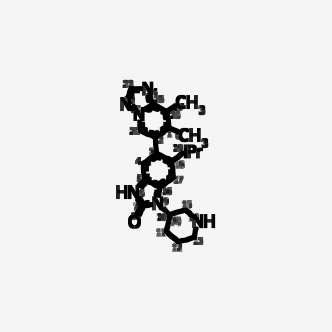 Cc1c(-c2cc3[nH]c(=O)n([C@@H]4CCCNC4)c3cc2C(C)C)cn2ncnc2c1C